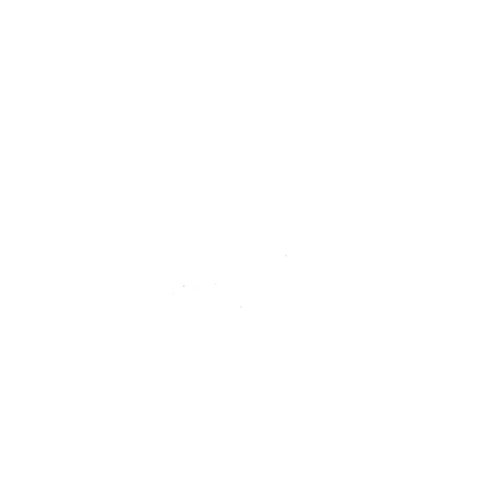 Cc1cccc([O-])c1.[Li+]